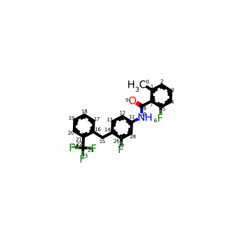 Cc1cccc(F)c1C(=O)Nc1ccc(Cc2ccccc2C(F)(F)F)c(F)c1